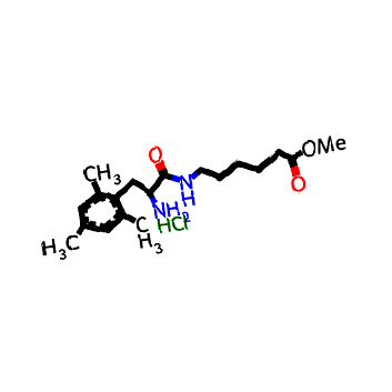 COC(=O)CCCCCNC(=O)C(N)Cc1c(C)cc(C)cc1C.Cl